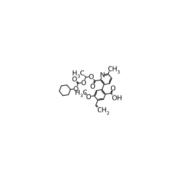 C=Cc1cc(C(=O)O)c(-c2ccc(C)nc2C(=O)OC(C)OC(=O)OC2CCCCC2)cc1OC